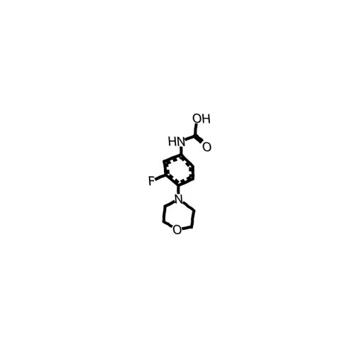 O=C(O)Nc1ccc(N2CCOCC2)c(F)c1